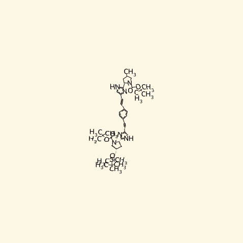 CC1CC(c2nc(C#Cc3ccc(C#Cc4c[nH]c([C@@H]5C[C@H](CO[Si](C)(C)C(C)(C)C)CN5C(=O)OC(C)(C)C)n4)cc3)c[nH]2)N(C(=O)OC(C)(C)C)C1